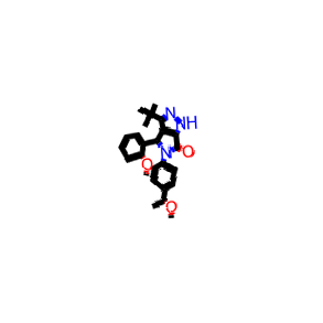 COc1ccccc1C1c2c(C(C)(C)C)n[nH]c2C(=O)N1c1ccc(C(C)OC)cc1